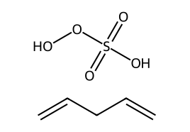 C=CCC=C.O=S(=O)(O)OO